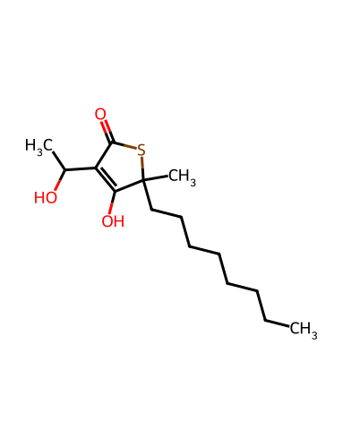 CCCCCCCCC1(C)SC(=O)C(C(C)O)=C1O